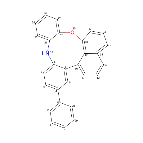 c1ccc(-c2ccc3c(c2)-c2cccc4cccc(c24)Oc2ccccc2N3)cc1